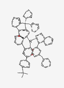 CC(C)(C)c1ccc(-c2ccc(N(c3ccc4c(c3)C(c3ccccc3)(c3ccccc3)c3ccccc3-4)c3ccc4ccccc4c3-c3cccc(-c4ccccc4)c3)c(-c3ccccc3)c2)cc1